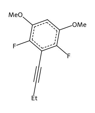 CCC#Cc1c(F)c(OC)cc(OC)c1F